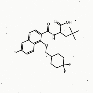 CC(C)(C)CC(NC(=O)c1ccc2cc(F)ccc2c1OCC1CCC(F)(F)CC1)C(=O)O